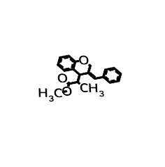 COC(=O)C(C)C1C(=Cc2ccccc2)COc2ccccc21